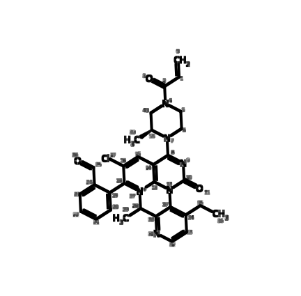 C=CC(=O)N1CCN(c2nc(=O)n3c4c2cc(Cl)c(-c2ccccc2C=O)[n+]4C(C)c2nccc(CC)c2-3)[C@@H](C)C1